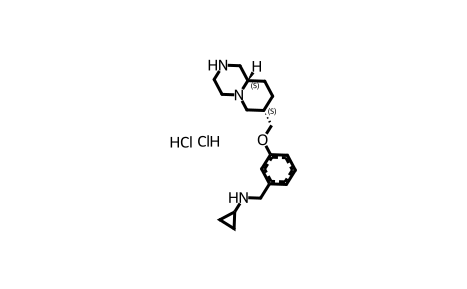 Cl.Cl.c1cc(CNC2CC2)cc(OC[C@H]2CC[C@H]3CNCCN3C2)c1